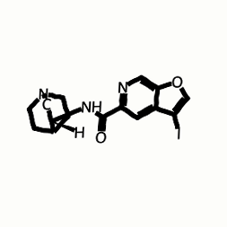 O=C(N[C@H]1CN2CCC1CC2)c1cc2c(I)coc2cn1